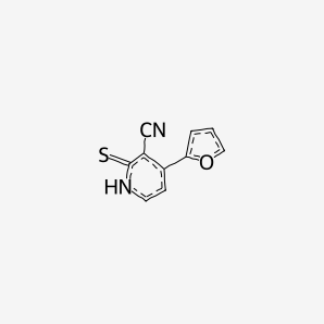 N#Cc1c(-c2ccco2)cc[nH]c1=S